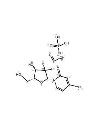 Nc1ccn([C@@H]2O[C@H](CO)[C@@H](O)C2(F)F)c(=O)n1.O=CO.O=P(O)(O)O